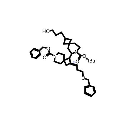 CC(C)(C)OC(=O)N1CCC2(CC(CCCO)C2)CC1C1/C(=C/CCOCc2ccccc2)CC12CCN(C(=O)OCc1ccccc1)CC2